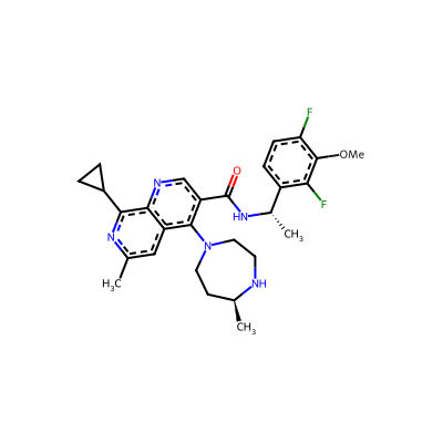 COc1c(F)ccc([C@H](C)NC(=O)c2cnc3c(C4CC4)nc(C)cc3c2N2CCN[C@@H](C)CC2)c1F